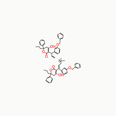 C=CC(C1=C(O)CC(CCC)(c2ccccc2)OC1=O)c1cccc(OCc2ccccc2)c1.CCCC1(c2ccccc2)CC(O)=C(C(=CC[Si](C)(C)C)c2cccc(OCc3ccccc3)c2)C(=O)O1